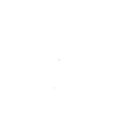 C=C(COC(=O)c1c(Cl)cccc1Cl)C(=O)NC(C)CC(C)C(=O)NCC(=O)OCC